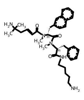 CN(C(=O)C=CCC(C)(C)N)[C@H](Cc1ccc2ccccc2c1)C(=O)N(C)[C@H](Cc1ccccc1)C(=O)NCCCCCN